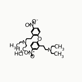 CCN(CC)CCc1cc([N+](=O)[O-])ccc1Oc1ccc([N+](=O)[O-])cc1CCN(CC)CC.Cl